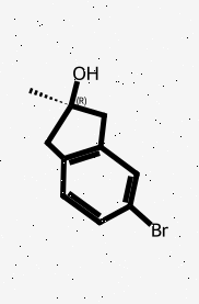 C[C@@]1(O)Cc2ccc(Br)cc2C1